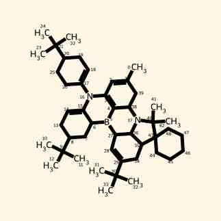 CC1=CC2=C3B(C4CC(C(C)(C)C)CC=C4N2C2=CCC(C(C)(C)C)CC2)C2C=C(C(C)(C)C)CC4C2N(C3C1)C(C)(C)C41CCCCC1